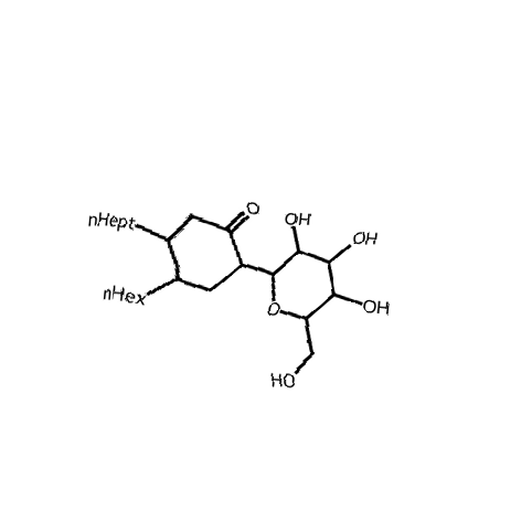 CCCCCCCC1CC(=O)C(C2OC(CO)C(O)C(O)C2O)CC1CCCCCC